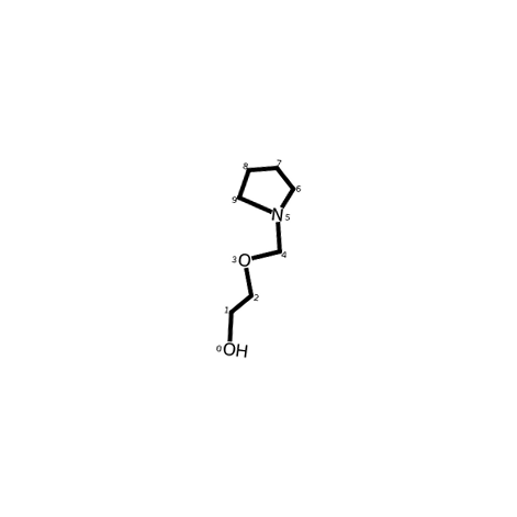 OCCOCN1CCCC1